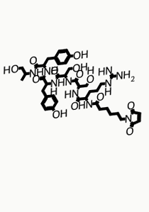 CC(CO)NC(=O)C(Cc1ccc(O)cc1)NC(=O)C(Cc1ccc(O)cc1)NC(=O)C(CO)NC(=O)C(CO)NC(=O)C(CCCNC(=N)N)NC(=O)CCCCCN1C(=O)C=CC1=O